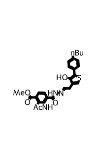 CCCCc1ccc(-c2scc(CC=NNC(=O)c3ccc(C(=O)OC)c(NC(C)=O)c3)c2O)cc1